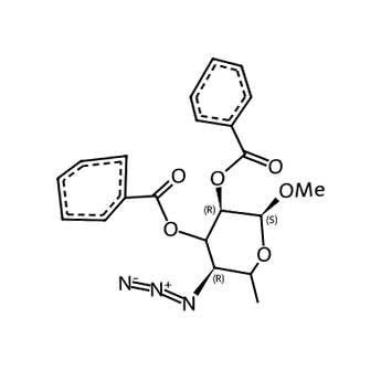 CO[C@H]1OC(C)[C@@H](N=[N+]=[N-])C(OC(=O)c2ccccc2)[C@H]1OC(=O)c1ccccc1